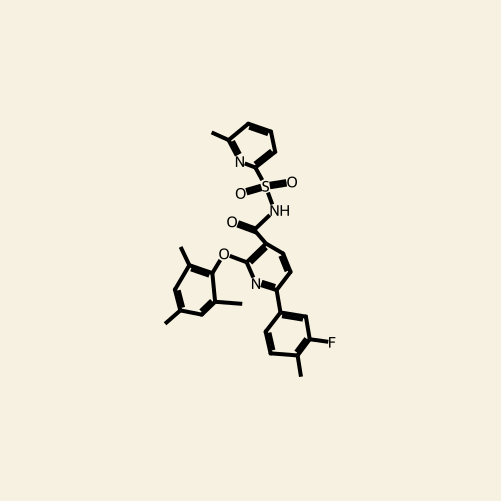 Cc1cc(C)c(Oc2nc(-c3ccc(C)c(F)c3)ccc2C(=O)NS(=O)(=O)c2cccc(C)n2)c(C)c1